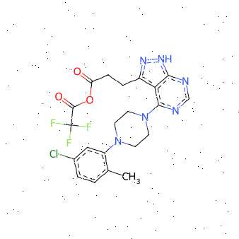 Cc1ccc(Cl)cc1N1CCN(c2ncnc3[nH]nc(CCC(=O)OC(=O)C(F)(F)F)c23)CC1